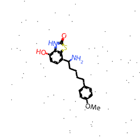 COc1ccc(CCCCC(N)c2ccc(O)c3[nH]c(=O)sc23)cc1